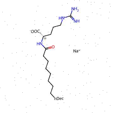 CCCCCCCCCCCCCCCCCC(=O)N[C@@H](CCCNC(=N)N)C(=O)[O-].[Na+]